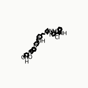 O=C1CCC(n2cc3ccc(N4CCC(O)(CN5CCC(CCN6CCC(Nc7ncc(Cl)c(-c8c[nH]c9ccccc89)n7)C6)CC5)CC4)cc3c2)C(=O)N1